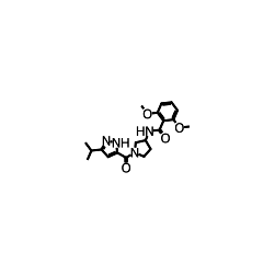 COc1cccc(OC)c1C(=O)NC1CCN(C(=O)c2cc(C(C)C)n[nH]2)C1